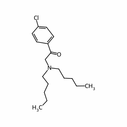 CCCCCN(CCCCC)CC(=O)c1ccc(Cl)cc1